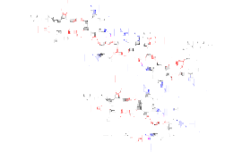 CNC(C)[C@@H]1CC[C@@H](N)[C@@H](O[C@H]2[C@H](O)[C@@H](O[C@H]3OC[C@](C)(O)[C@H](NC)[C@H]3O)[C@H](N)C[C@@H]2N)O1.CN[C@@H]1[C@@H](O)[C@@H](O[C@@H]2[C@@H](O)[C@H](O[C@H]3O[C@H](C(C)N)CC[C@H]3N)[C@@H](N)C[C@H]2N)OC[C@]1(C)O.CN[C@@H]1[C@@H](O)[C@@H](O[C@@H]2[C@@H](O)[C@H](O[C@H]3O[C@H](CN)CC[C@H]3N)[C@@H](N)C[C@H]2N)OC[C@]1(C)O.O=S(=O)(O)O